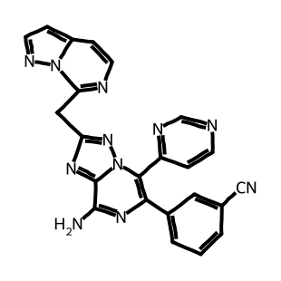 N#Cc1cccc(-c2nc(N)c3nc(Cc4nccc5ccnn45)nn3c2-c2ccncn2)c1